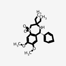 CCC1(CC)CS(=O)(=O)c2cc(OC)c(OC)cc2[C@@H](c2ccccc2)N1